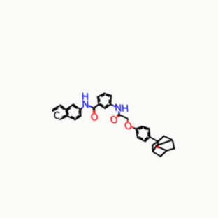 O=C(COc1ccc(C23CC4CC(CC(C4)C2)C3)cc1)Nc1cccc(C(=O)Nc2ccc3ccccc3c2)c1